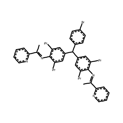 CC(=Nc1c(C(C)C)cc(C(c2ccc(Br)cc2)c2cc(C(C)C)c(N=C(C)c3ccccn3)c(C(C)C)c2)cc1C(C)C)c1ccccn1